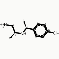 C[C@H](N[C@@H](C)CN)c1ccc(Cl)cc1